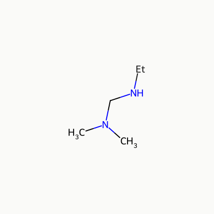 CCNCN(C)C